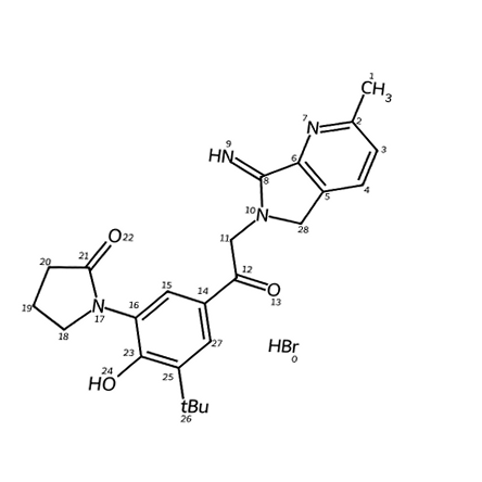 Br.Cc1ccc2c(n1)C(=N)N(CC(=O)c1cc(N3CCCC3=O)c(O)c(C(C)(C)C)c1)C2